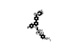 Nc1ccc(CNC(=O)NCCOc2ccc(-c3ccc(C(=O)N4CCC(F)(F)CC4)cc3)cc2-c2ccc(F)cc2)cc1